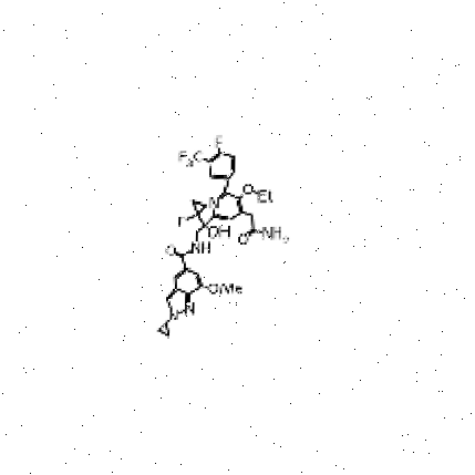 CCOc1c(CC(N)=O)cc([C@@](O)(CNC(=O)c2cc(OC)c3nn(C4CC4)cc3c2)C2(F)CC2)nc1-c1ccc(F)c(C(F)(F)F)c1